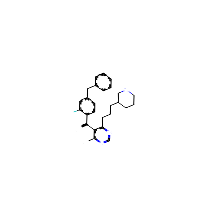 C=C(c1ccc(Cc2ccccc2)cc1F)c1c(C)ncnc1CCCC1CCCNC1